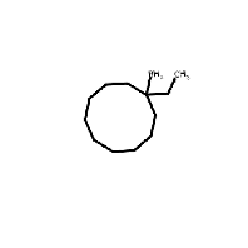 BC1(CC)CCCCCCCCC1